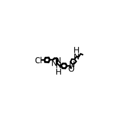 CCCNC1CCN(C(=O)c2ccc(Nc3nccc(-c4ccc(Cl)cc4)n3)cc2)CC1